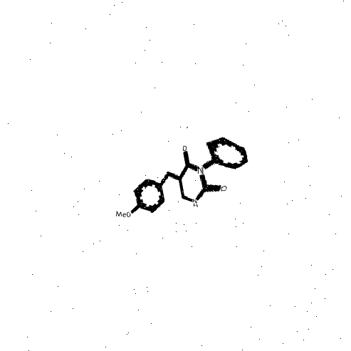 COc1ccc(CC2CNC(=O)N(c3ccccc3)C2=O)cc1